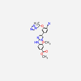 COC(=O)c1ccc(Nc2ncc(-c3ccc(C#N)c(OC(C)Cn4cncn4)c3)cn2)c(OC)c1